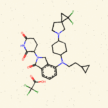 O=C(O)C(F)(F)F.O=C1CCC(N2Cc3c(cccc3N(CCC3CC3)C3CCC(N4CCC5(C4)CC5(F)F)CC3)C2=O)C(=O)N1